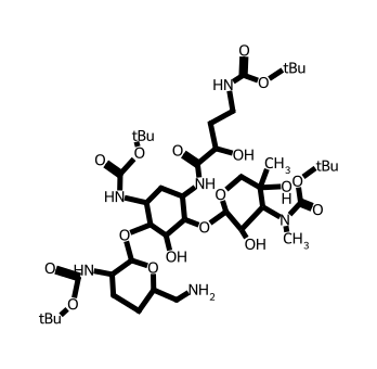 CN(C(=O)OC(C)(C)C)C1C(O)C(OC2C(NC(=O)C(O)CCNC(=O)OC(C)(C)C)CC(NC(=O)OC(C)(C)C)C(OC3OC(CN)CCC3NC(=O)OC(C)(C)C)C2O)OCC1(C)O